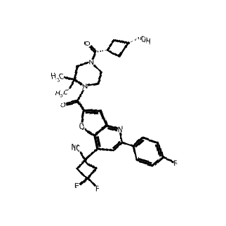 CC1(C)CN(C(=O)[C@H]2C[C@@H](O)C2)CCN1C(=O)c1cc2nc(-c3ccc(F)cc3)cc(C3(C#N)CC(F)(F)C3)c2o1